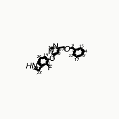 Fc1c(Oc2cc(COCc3ccccc3)ncn2)ccc2c1CCN2